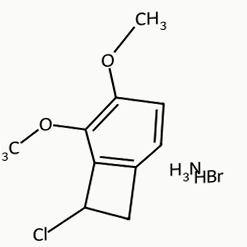 Br.COc1ccc2c(c1OC)C(Cl)C2.N